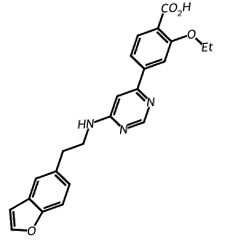 CCOc1cc(-c2cc(NCCc3ccc4occc4c3)ncn2)ccc1C(=O)O